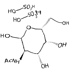 CC(=O)N[C@H]1C(O)O[C@H](CO)[C@H](O)[C@@H]1O.O=S(=O)(O)O.O=S(=O)(O)O